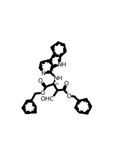 O=CC(C(=O)OCc1ccccc1)[C@H](Nc1nccc2c1[nH]c1ccccc12)C(=O)OCc1ccccc1